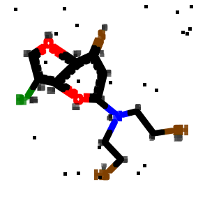 S=c1cc(N(CCS)CCS)oc2c(Br)coc12